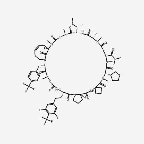 CC[C@H](C)[C@@H]1NC(=O)[C@H](C)N(C)C(=O)C[C@@H](C(=O)N(C)C)N(C)C(=O)[C@H](C2CCCC2)N(C)C(=O)C2(CCC2)NC(=O)[C@@H]2CCCN2C(=O)[C@H](CCc2cc(F)c(C(F)(F)F)c(F)c2)NC(=O)CN(C)C(=O)[C@H](Cc2ccc(C(F)(F)F)cc2)N2CC/C=C\C[C@@H](C2=O)N(C)C(=O)CN(C)C1=O